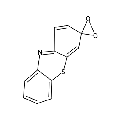 C1=CC2(C=C3Sc4ccccc4N=C13)OO2